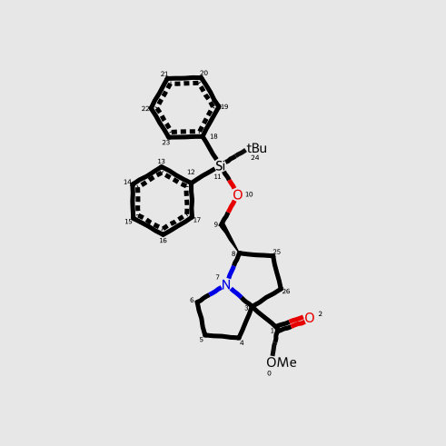 COC(=O)C12CCCN1[C@@H](CO[Si](c1ccccc1)(c1ccccc1)C(C)(C)C)CC2